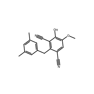 COc1cc(C#N)c(Cc2cc(C)cc(C)c2)c(C#N)c1O